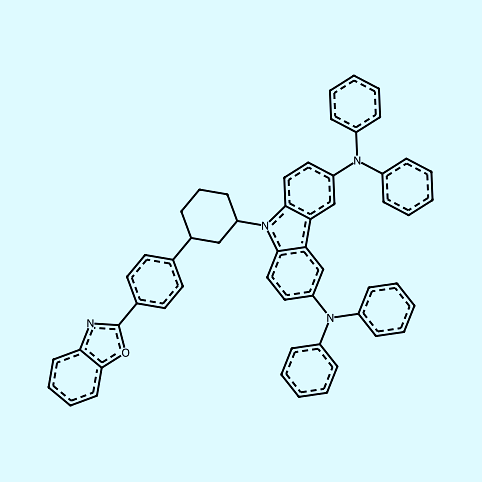 c1ccc(N(c2ccccc2)c2ccc3c(c2)c2cc(N(c4ccccc4)c4ccccc4)ccc2n3C2CCCC(c3ccc(-c4nc5ccccc5o4)cc3)C2)cc1